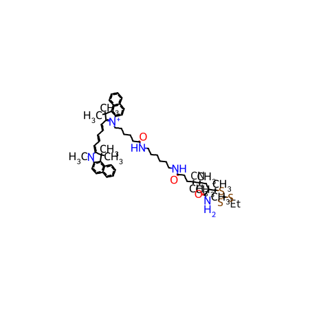 CCSC(=S)SC(C)(C)C(CC(C)(C)C(C)(C#N)CCC(=O)NCCCCCCNC(=O)CCCCC[N+]1=C(/C=C/C=C/C=C2/N(C)c3ccc4ccccc4c3C2(C)C)C(C)(C)c2c1ccc1ccccc21)C(N)=O